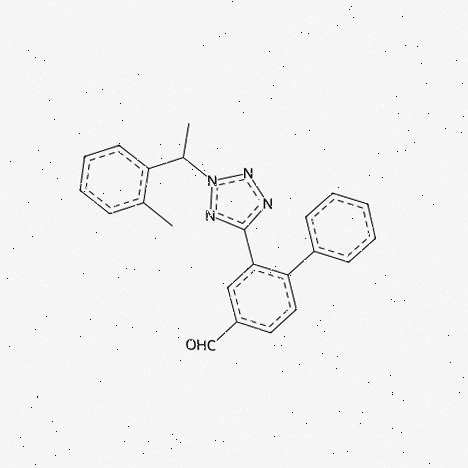 Cc1ccccc1C(C)n1nnc(-c2cc(C=O)ccc2-c2ccccc2)n1